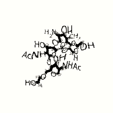 CC(=O)NC1C(O)[C@H](O[C@@H]2OC(COCCO)[C@H](C)[C@H](O)C2N)[C@H](COCCO)O[C@H]1O[C@@H]1C(COCCO)OCC(NC(C)=O)[C@H]1O